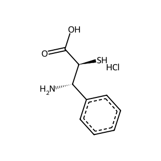 Cl.N[C@@H](c1ccccc1)[C@H](S)C(=O)O